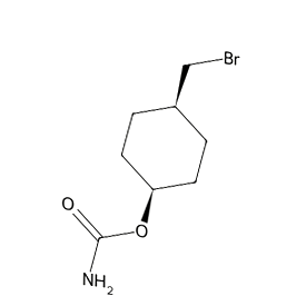 NC(=O)O[C@H]1CC[C@@H](CBr)CC1